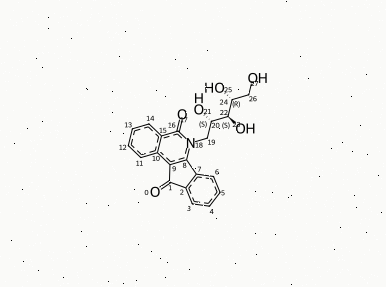 O=C1c2ccccc2-c2c1c1ccccc1c(=O)n2C[C@H](O)[C@H](O)[C@H](O)CO